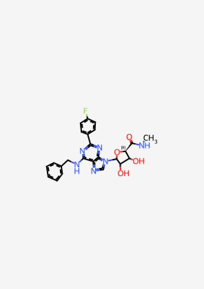 CNC(=O)[C@@H]1OC(n2cnc3c(NCc4ccccc4)nc(-c4ccc(F)cc4)nc32)C(O)C1O